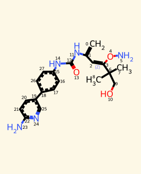 C=C(/C=C(\ON)C(C)(C)CO)NC(=O)Nc1ccc(-c2ccc(N)nc2)cc1